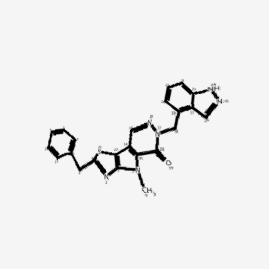 Cn1c2nc(Cc3ccccc3)sc2c2cnn(Cc3cccc4[nH]ncc34)c(=O)c21